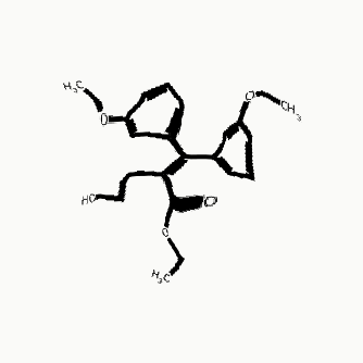 CCOC(=O)C(CCO)=C(c1cccc(OC)c1)c1cccc(OC)c1